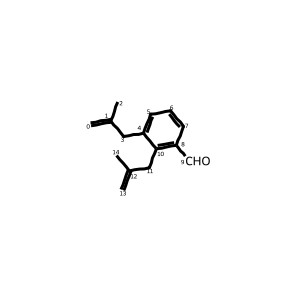 C=C(C)Cc1cccc(C=O)c1CC(=C)C